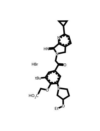 Br.CCOC1CCN(c2cc(C(=O)CN3Cc4ccc(C5CC5)nc4C3=N)cc(C(C)(C)C)c2OCC(=O)O)C1